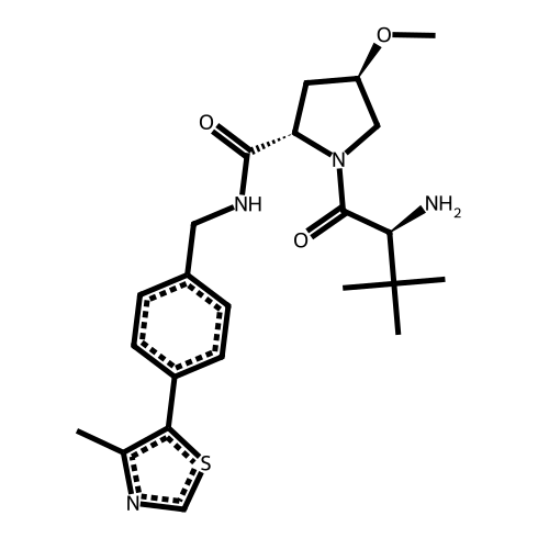 CO[C@@H]1C[C@@H](C(=O)NCc2ccc(-c3scnc3C)cc2)N(C(=O)[C@@H](N)C(C)(C)C)C1